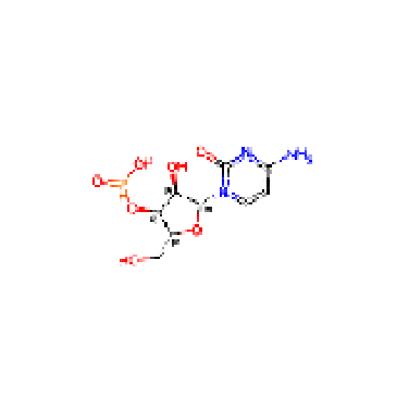 Nc1ccn([C@@H]2O[C@H](CO)[C@@H](O[PH](=O)O)[C@H]2O)c(=O)n1